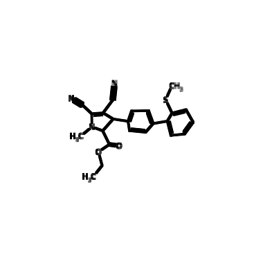 CCOC(=O)C1C(c2ccc(-c3ccccc3SC)cc2)C(C#N)=C(C#N)N1C